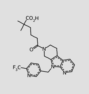 CC(C)(CCCC(=O)N1CCc2c(n(Cc3ccc(C(F)(F)F)nc3)c3ncccc23)C1)C(=O)O